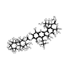 [2H]c1c(OC(=O)N2C([2H])(C)C([2H])([2H])C([2H])(N3C([2H])(C)C([2H])([2H])C([2H])([2H])C([2H])([2H])C3(C)C)C([2H])(C)C2(C)C)c([2H])c2c(C([2H])(C)C([2H])([2H])[2H])c3c(nc2c1[2H])-c1c([2H])c2c(c(=O)n1C3([2H])C)C([2H])(C)OC(=O)[C@]2(OC)C([2H])([2H])C([2H])([2H])C